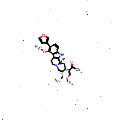 CC[C@@H]1CN2CCc3c([nH]c4ccc(-c5ccoc5)c(OC)c34)[C@@H]2C[C@@H]1/C(=C\OC)C(C)=O